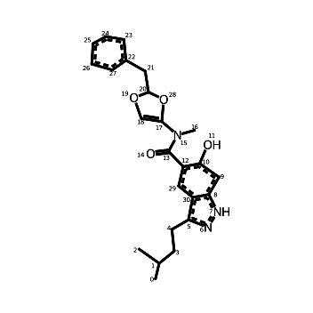 CC(C)CCc1n[nH]c2cc(O)c(C(=O)N(C)C3=COC(Cc4ccccc4)O3)cc12